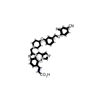 CCn1cncc1Cn1c(CN2CCC(Oc3cccc(COc4ccc(C#N)cc4F)c3)CC2)nc2ccc(/C=C/C(=O)O)cc21